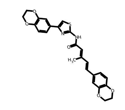 CC(/C=C/c1ccc2c(c1)OCCO2)=C\C(=O)Nc1nc(-c2ccc3c(c2)OCCO3)cs1